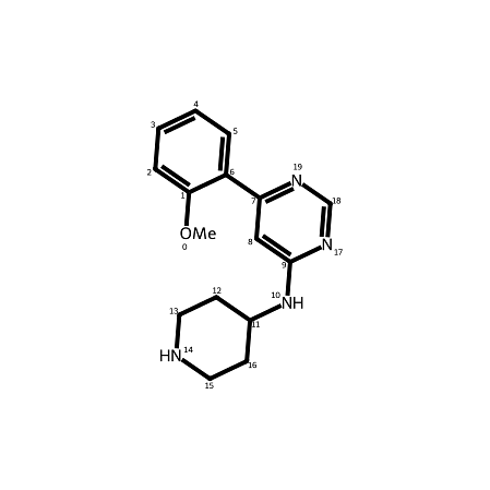 COc1ccccc1-c1cc(NC2CCNCC2)ncn1